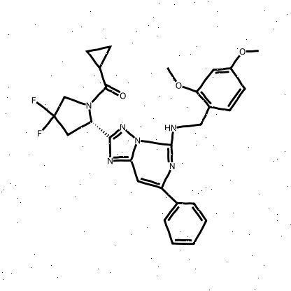 COc1ccc(CNc2nc(-c3ccccc3)cc3nc([C@@H]4CC(F)(F)CN4C(=O)C4CC4)nn23)c(OC)c1